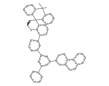 CC1(C)c2ccccc2C2(c3ccccc3Sc3c(-c4cccc(-c5nc(-c6ccccc6)cc(-c6ccc7c(ccc8ccccc87)c6)n5)c4)cccc32)c2ccccc21